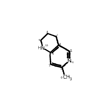 Cc1cc2c(cn1)CCCN2